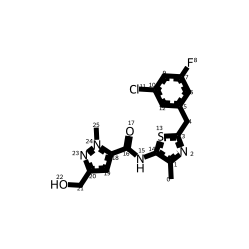 Cc1nc(Cc2cc(F)cc(Cl)c2)sc1NC(=O)c1cc(CO)nn1C